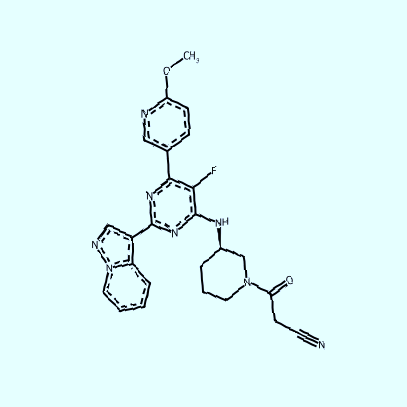 COc1ccc(-c2nc(-c3cnn4ccccc34)nc(N[C@@H]3CCCN(C(=O)CC#N)C3)c2F)cn1